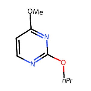 CCCOc1nccc(OC)n1